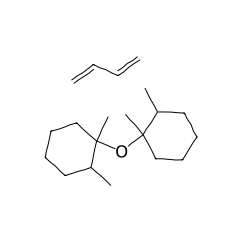 C=CC=C.CC1CCCCC1(C)OC1(C)CCCCC1C